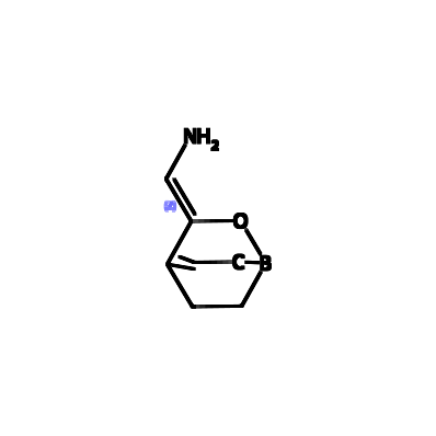 N/C=C1\OB2CC=C1CC2